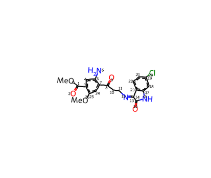 COC(=O)c1cc(N)c(C(=O)CC/N=C2/C(=O)Nc3cc(Cl)ccc32)cc1OC